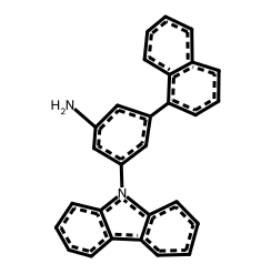 Nc1cc(-c2cccc3ccccc23)cc(-n2c3ccccc3c3ccccc32)c1